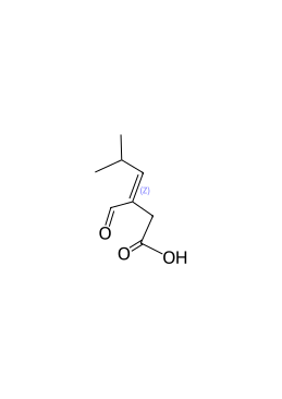 CC(C)/C=C(\C=O)CC(=O)O